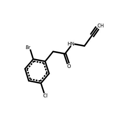 C#CCNC(=O)Cc1cc(Cl)ccc1Br